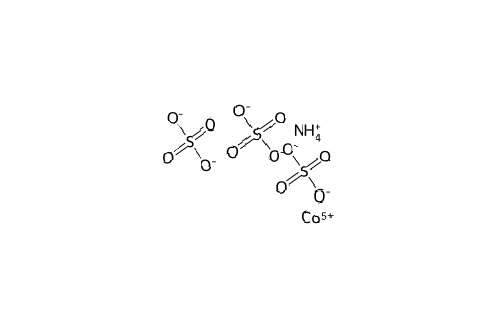 O=S(=O)([O-])[O-].O=S(=O)([O-])[O-].O=S(=O)([O-])[O-].[Co+5].[NH4+]